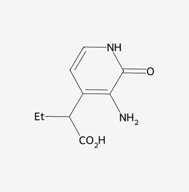 CCC(C(=O)O)c1cc[nH]c(=O)c1N